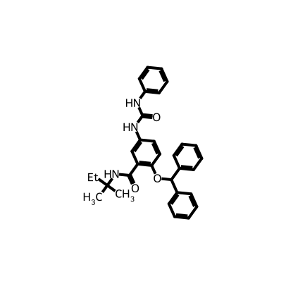 CCC(C)(C)NC(=O)c1cc(NC(=O)Nc2ccccc2)ccc1OC(c1ccccc1)c1ccccc1